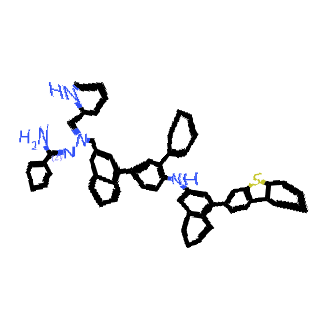 N/C(=N\N(CC1=CC(c2ccc(NC3=CC(c4ccc5c(c4)SC4C=CC=CC54)=C4C=CCCC4C3)c(C3=CC=CCC3)c2)C2C=CC=CC2C1)CC1C=CC=CN1)C1=CCCC=C1